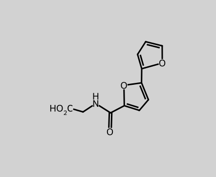 O=C(O)CNC(=O)c1ccc(-c2ccco2)o1